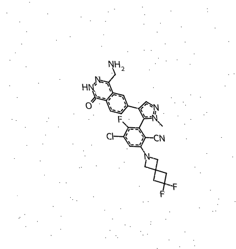 Cn1ncc(-c2ccc3c(=O)[nH]nc(CN)c3c2)c1-c1c(F)c(Cl)cc(N2CC3(C2)CC(F)(F)C3)c1C#N